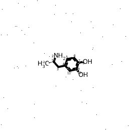 C[C@H](N)Cc1ccc(O)c(O)c1